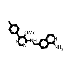 COc1c(NCc2ccc3c(N)nccc3c2)ncnc1-c1ccc(C)cc1